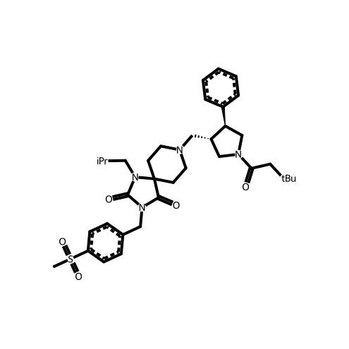 CC(C)CN1C(=O)N(Cc2ccc(S(C)(=O)=O)cc2)C(=O)C12CCN(C[C@H]1CN(C(=O)CC(C)(C)C)C[C@@H]1c1ccccc1)CC2